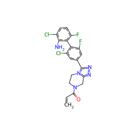 C=CC(=O)N1CCn2c(nnc2-c2cc(F)c(-c3c(F)ccc(Cl)c3N)c(Cl)c2)C1